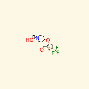 CB(O)N1CCC(Oc2cc(C(F)(F)F)sc2C=O)CC1